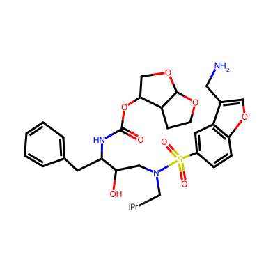 CC(C)CN(CC(O)C(Cc1ccccc1)NC(=O)OC1COC2OCCC12)S(=O)(=O)c1ccc2occ(CN)c2c1